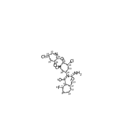 NC(=O)N(C(=O)c1c(F)cccc1F)c1cc(Cl)c(Oc2ncc(Cl)cc2Cl)c(Cl)c1